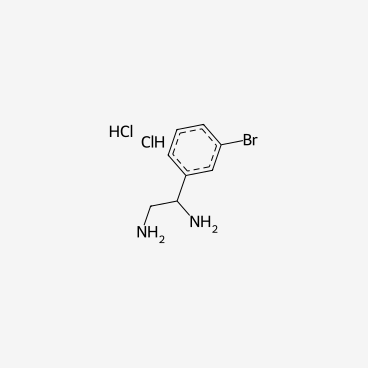 Cl.Cl.NCC(N)c1cccc(Br)c1